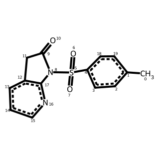 Cc1ccc(S(=O)(=O)N2C(=O)Cc3cccnc32)cc1